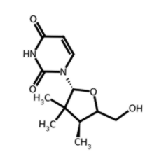 C[C@@H]1C(CO)O[C@@H](n2ccc(=O)[nH]c2=O)C1(C)C